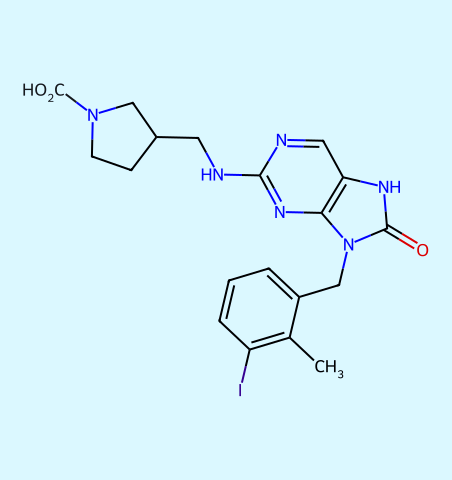 Cc1c(I)cccc1Cn1c(=O)[nH]c2cnc(NCC3CCN(C(=O)O)C3)nc21